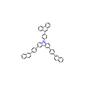 c1ccc2cc(-c3ccc(-c4ccc5c(c4)c4cc(-c6ccc(-c7ccc8ccccc8c7)cc6)ccc4n5-c4ccc(-c5cc6ccccc6c6ccccc56)cc4)cc3)ccc2c1